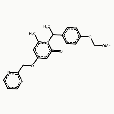 COCOc1ccc(C(C)n2c(C)cc(OCc3ncccn3)cc2=O)cc1